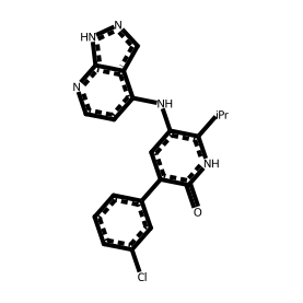 CC(C)c1[nH]c(=O)c(-c2cccc(Cl)c2)cc1Nc1ccnc2[nH]ncc12